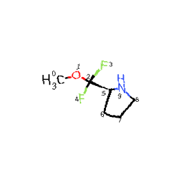 COC(F)(F)[C@@H]1CCCN1